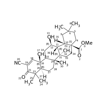 COC(=O)[C@]12CCC(C)(C)C[C@H]1[C@H]1[C@H](O)CC3[C@@]4(C)C=C(C#N)C(=O)C(C)(C)[C@@H]4CC[C@@]3(C)[C@]1(C)CC2